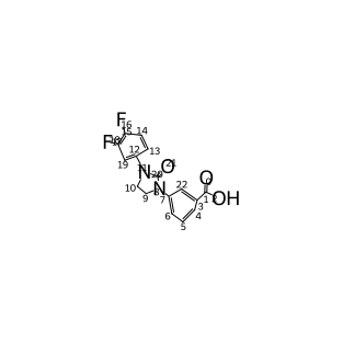 O=C(O)c1cccc(N2CCN(c3ccc(F)c(F)c3)C2=O)c1